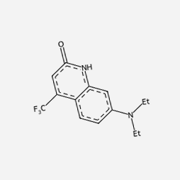 CCN(CC)c1ccc2c(C(F)(F)F)cc(=O)[nH]c2c1